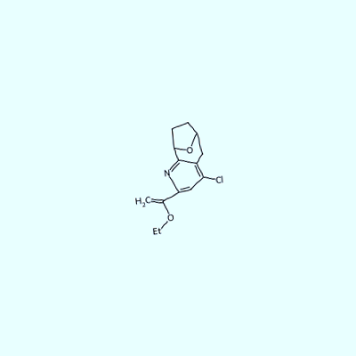 C=C(OCC)c1cc(Cl)c2c(n1)C1CCC(C2)O1